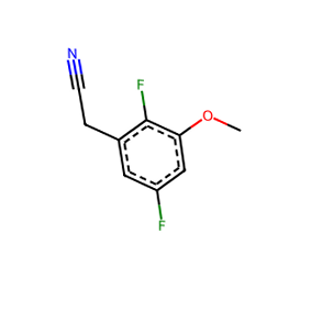 COc1cc(F)cc(CC#N)c1F